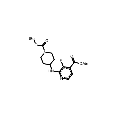 COC(=O)c1ccnc(NC2CCN(C(=O)OC(C)(C)C)CC2)c1F